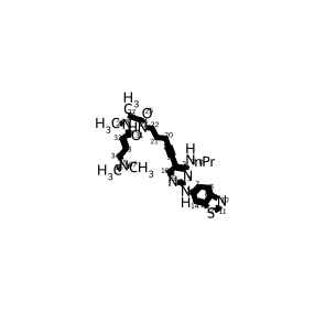 CCCNc1nc(Nc2ccc3ncsc3c2)ncc1C#CCCCNC(=O)[C@H](C)N(C)C(=O)C=CCN(C)C